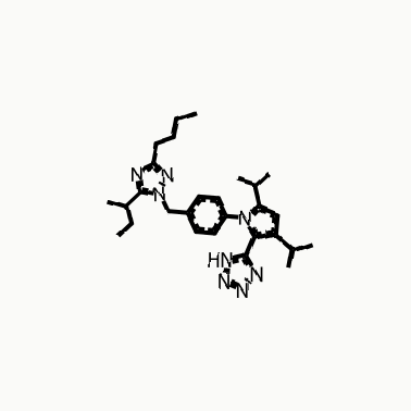 CCCCc1nc(C(C)CC)n(Cc2ccc(-n3c(C(C)C)cc(C(C)C)c3-c3nnn[nH]3)cc2)n1